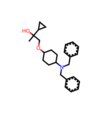 CC(O)(COC1CCC(N(Cc2ccccc2)Cc2ccccc2)CC1)C1CC1